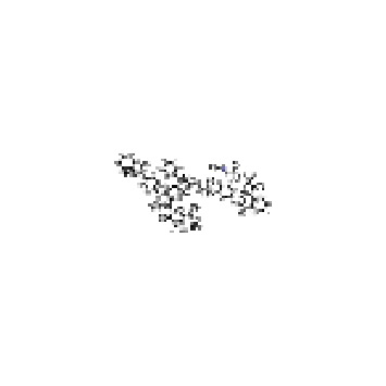 CC/C=C/C(=O)OCC(C)(C)C(=O)C(=O)N1CCCC[C@H]1C(=O)OCc1cccc(NC(=O)CCC(=O)N[C@H](C(=O)N[C@@H](Cc2ccc(C(=O)Nc3cccnc3)cc2)C(=O)N(CCC)CC(=O)N(C)[C@@H](CC(C)C)C(=O)N(C)CC)c2ccccc2)c1